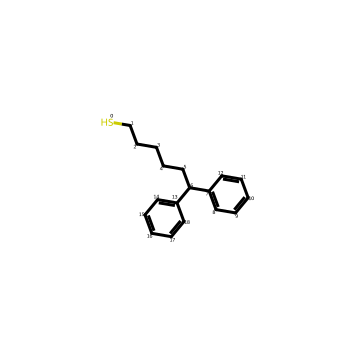 SCCCCCC(c1ccccc1)c1ccccc1